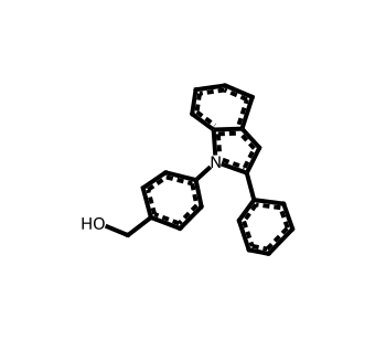 OCc1ccc(-n2c(-c3ccccc3)cc3ccccc32)cc1